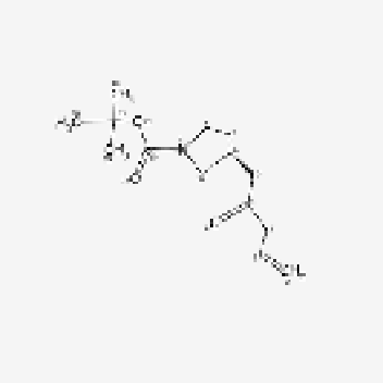 C=CCC(=O)C[C@@H]1CCN(C(=O)OC(C)(C)C)C1